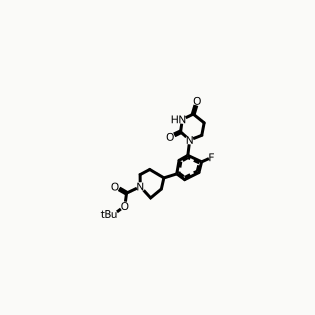 CC(C)(C)OC(=O)N1CCC(c2ccc(F)c(N3CCC(=O)NC3=O)c2)CC1